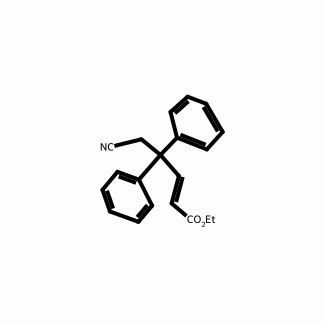 CCOC(=O)C=CC(CC#N)(c1ccccc1)c1ccccc1